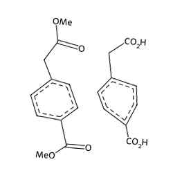 COC(=O)Cc1ccc(C(=O)OC)cc1.O=C(O)Cc1ccc(C(=O)O)cc1